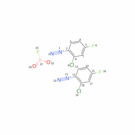 N#[N+]c1ccc(F)cc1Cl.N#[N+]c1ccc(F)cc1Cl.[O-]B([O-])F